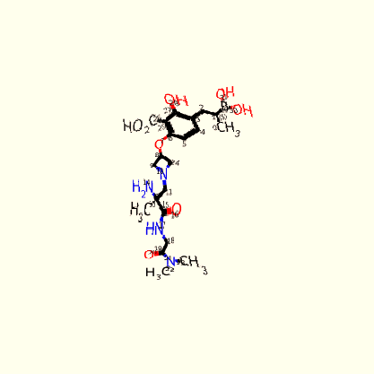 C[C@@H](Cc1ccc(OC2CN(C[C@](C)(N)C(=O)NCC(=O)N(C)C)C2)c(C(=O)O)c1O)B(O)O